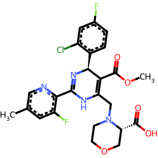 COC(=O)C1=C(CN2CCOC[C@H]2C(=O)O)NC(c2ncc(C)cc2F)=N[C@H]1c1ccc(F)cc1Cl